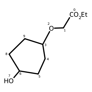 CCOC(=O)COC1CCC(O)CC1